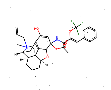 C=CC[N+]1(C)CC[C@@]23C4=C5C[C@@H]1[C@@H]2CCC[C@@H]3OC4C(NC(=O)C(=Cc1ccccc1)OC(F)(F)F)(OC(C)=O)C=C5O